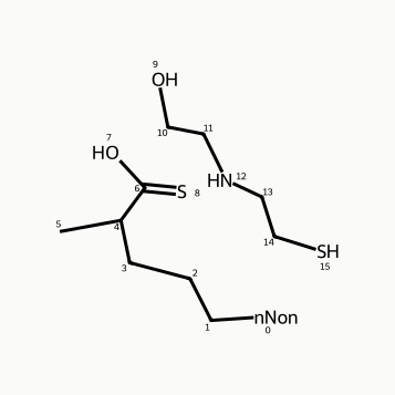 CCCCCCCCCCCCC(C)C(O)=S.OCCNCCS